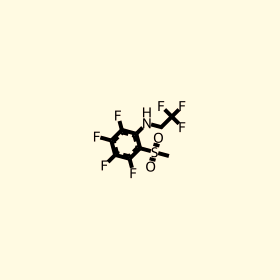 CS(=O)(=O)c1c(F)c(F)c(F)c(F)c1NCC(F)(F)F